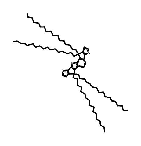 CCCCCCCCCCCCCCCCCC1(CCCCCCCCCCCCCCCCC)c2ccsc2-c2sc3c4c(ccc3c21)-c1sccc1C4(CCCCCCCCCCCCCCCCC)CCCCCCCCCCCCCCCCC